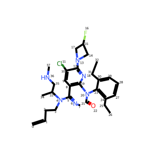 C=CCCN(/C(=N/C)c1cc(Cl)c(N2CC(F)C2)nc1N(C=O)c1c(CC)cccc1CC)C(C)CNC